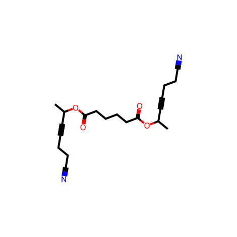 CC(C#CCCC#N)OC(=O)CCCCC(=O)OC(C)C#CCCC#N